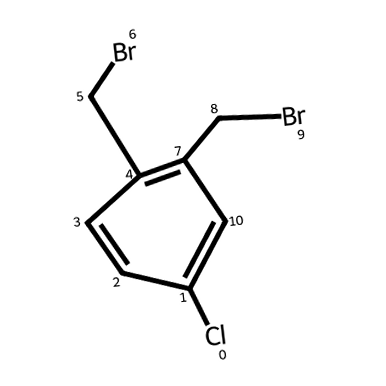 Clc1ccc(CBr)c(CBr)c1